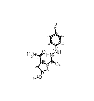 COC1CC(C(=O)NNc2ccc(F)cc2)N(C(N)=O)C1